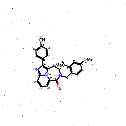 COc1ccc(CN2CCc3c(-c4ccc(C#N)cc4)nc4cccc(n34)C2=O)c(OC)c1